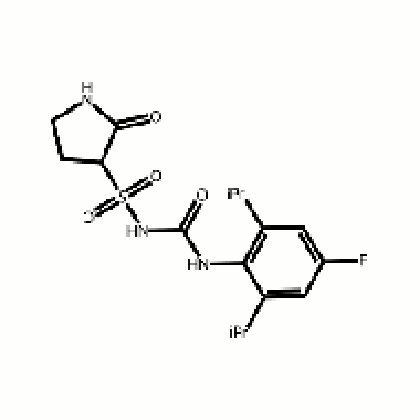 CC(C)c1cc(F)cc(C(C)C)c1NC(=O)NS(=O)(=O)C1CCNC1=O